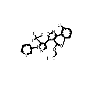 CCOC(=O)c1c(-c2c(F)cccc2Cl)noc1-c1cnn(-c2cccnc2)c1C(F)(F)F